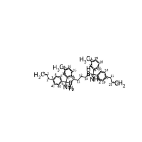 C=CCc1ccc(C(N)(BCCCCBC(N)(c2ccc(CC=C)cc2)c2cccc(C)c2)c2cccc(C)c2)cc1